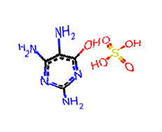 Nc1nc(N)c(N)c(O)n1.O=S(=O)(O)O